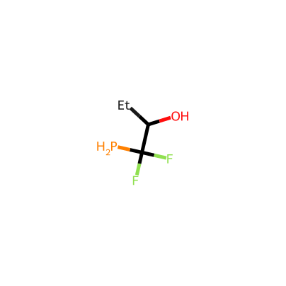 CCC(O)C(F)(F)P